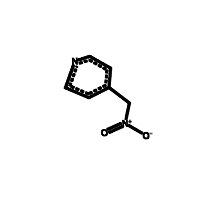 O=[N+]([O-])Cc1ccncc1